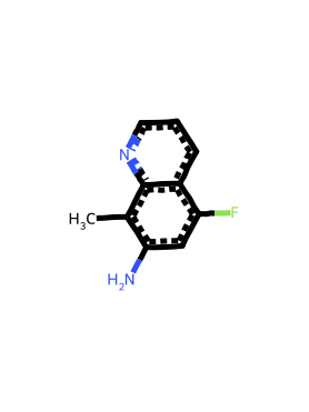 Cc1c(N)cc(F)c2cccnc12